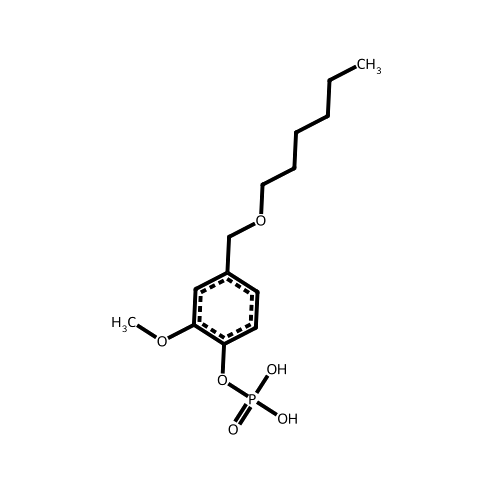 CCCCCCOCc1ccc(OP(=O)(O)O)c(OC)c1